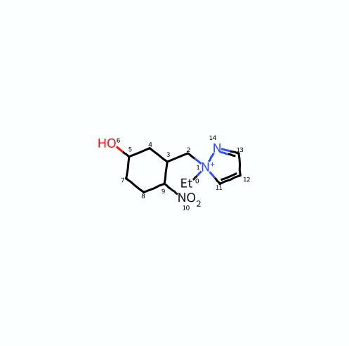 CC[N+]1(CC2CC(O)CCC2[N+](=O)[O-])C=CC=N1